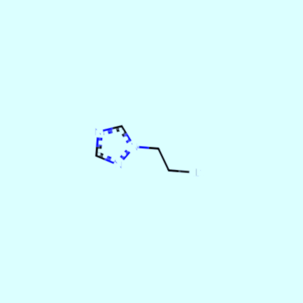 CC(C)(C)CCn1cncn1